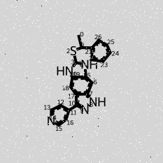 CC(SC1Nc2cc3[nH]nc(-c4ccncc4)c3cc2N1)c1ccccc1